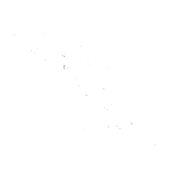 C[C@@H]1CC[C@@H](C(=O)Nc2cc(-c3ccc(F)c(NCC4CCOCC4)n3)c(Cl)cn2)CN1